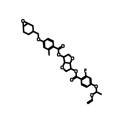 C=COC(C)Oc1ccc(C(=O)OC2COC3C(OC(=O)c4ccc(OCC5CCC6OC6C5)cc4C)COC23)c(F)c1